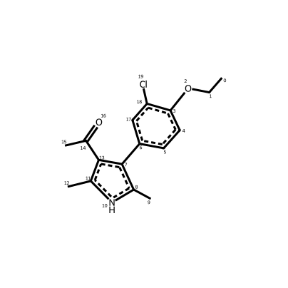 CCOc1ccc(-c2c(C)[nH]c(C)c2C(C)=O)cc1Cl